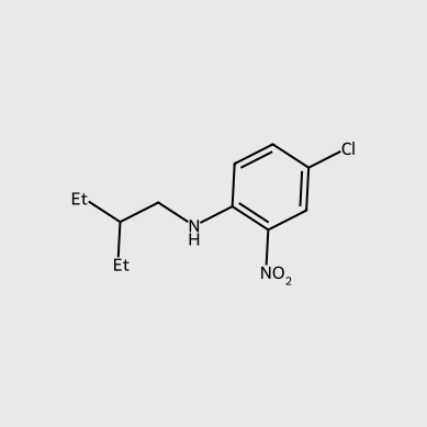 CCC(CC)CNc1ccc(Cl)cc1[N+](=O)[O-]